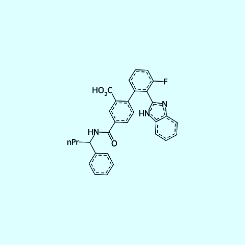 CCCC(NC(=O)c1ccc(-c2cccc(F)c2-c2nc3ccccc3[nH]2)c(C(=O)O)c1)c1ccccc1